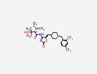 CN(C)[C@H](C(=O)NC1=NC(=O)S/C1=C\C1CCN(Cc2ccc(C(F)(F)F)cc2C(F)(F)F)CC1)C(C)(C)O